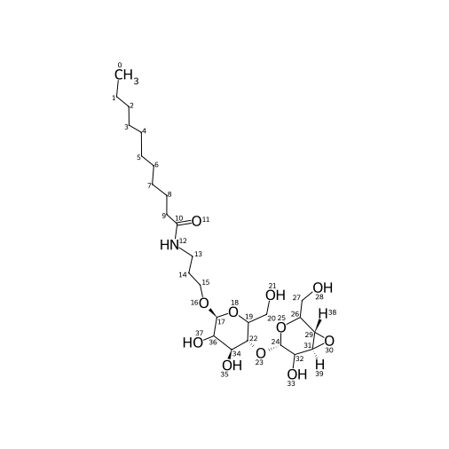 CCCCCCCCCCC(=O)NCCCO[C@H]1OC(CO)[C@H](O[C@@H]2OC(CO)[C@@H]3O[C@H]3C2O)[C@@H](O)C1O